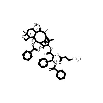 CC1=C2[C@@H](C)C(=O)[C@]3(C)[C@@H](O)C[C@@]4(C)OC[C@@]4(C)[C@H]3[C@H](OC(=O)c3ccccc3)[C@](O)(C[C@@H]1OC(=O)[C@H](OC(=O)CCC(=O)O)[C@@H](NC(=O)c1ccccc1)c1ccccc1)C2(C)C